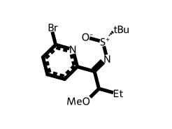 CCC(OC)/C(=N/[S@+]([O-])C(C)(C)C)c1cccc(Br)n1